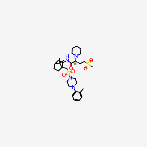 Cc1ccccc1N1CCN(S(=O)(=O)CC23CCC(CC2NC(=O)[C@H](CCS(C)(=O)=O)N2CCCCC2)C3(C)C)CC1